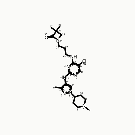 Cc1nn(C2CCN(C)CC2)cc1Nc1ncc(Cl)c(NCCCN2CC(C)(C)C2=O)n1